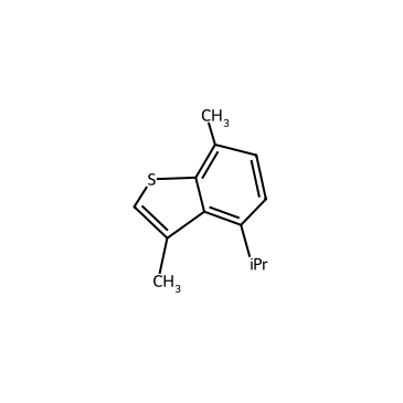 Cc1ccc(C(C)C)c2c(C)csc12